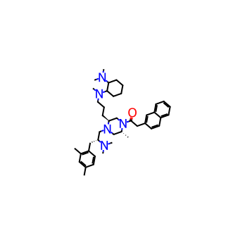 Cc1ccc(C[C@H](CN2C[C@@H](C)N(C(=O)Cc3ccc4ccccc4c3)C[C@@H]2CCCN(C)C2CCCCC2N(C)C)N(C)C)c(C)c1